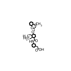 CCc1c(OC[C@@H]2CN(C)c3ccccc3O2)ccc(C(=O)Nc2cccc(CC(=O)O)c2)c1CC